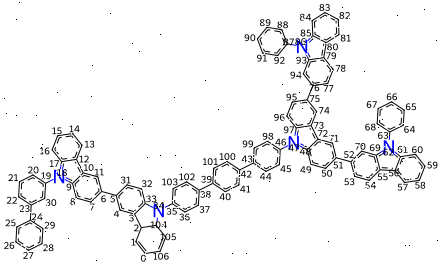 C1=CC2c3cc(-c4ccc5c(c4)c4ccccc4n5-c4cccc(-c5ccccc5)c4)ccc3N(c3ccc(-c4ccc(-c5ccc(-n6c7ccc(-c8ccc9c%10ccccc%10n(-c%10ccccc%10)c9c8)cc7c7cc(-c8ccc9c%10ccccc%10n(-c%10ccccc%10)c9c8)ccc76)cc5)cc4)cc3)C2C=C1